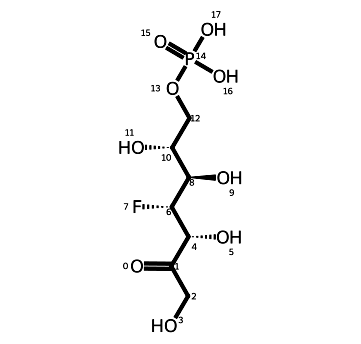 O=C(CO)[C@@H](O)[C@H](F)[C@H](O)[C@H](O)COP(=O)(O)O